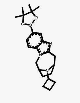 CC1(C)OB(c2ccc3c(c2)nc2n3CC3CCC(C2)N3C2CCC2)OC1(C)C